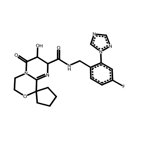 O=C(NCc1ccc(F)cc1-n1cncn1)C1N=C2N(CCOC23CCCC3)C(=O)C1O